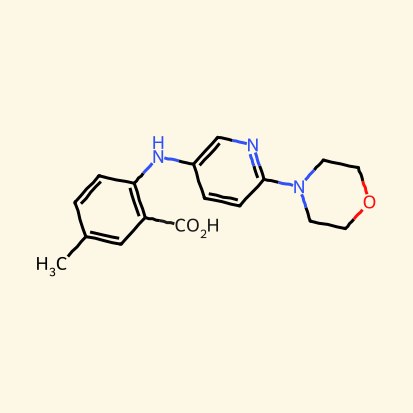 Cc1ccc(Nc2ccc(N3CCOCC3)nc2)c(C(=O)O)c1